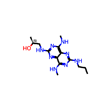 CCCNc1nc(NC)c2nc(NC[C@H](C)O)nc(NC)c2n1